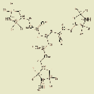 CC1(C)CC(COC(=O)CC(CC(=O)OCC2CC(C)(C)NC2(C)C)CC(=O)OCC2CC(C)(C)N(O)C2(C)C)C(C)(C)N1